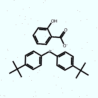 CC(C)(C)c1ccc([I+]c2ccc(C(C)(C)C)cc2)cc1.O=C([O-])c1ccccc1O